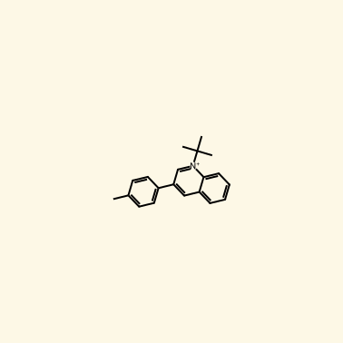 Cc1ccc(-c2cc3ccccc3[n+](C(C)(C)C)c2)cc1